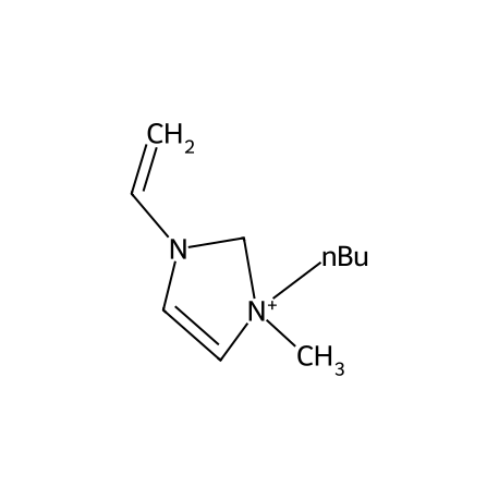 C=CN1C=C[N+](C)(CCCC)C1